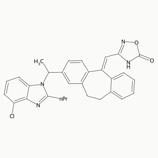 CCCc1nc2c(Cl)cccc2n1C(C)c1ccc2c(c1)CCc1ccccc1/C2=C\c1noc(=O)[nH]1